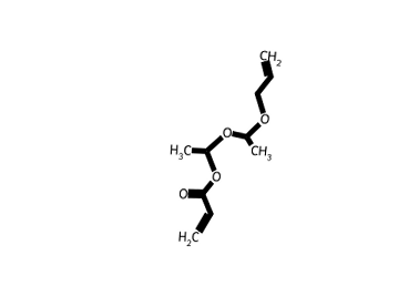 C=CCOC(C)OC(C)OC(=O)C=C